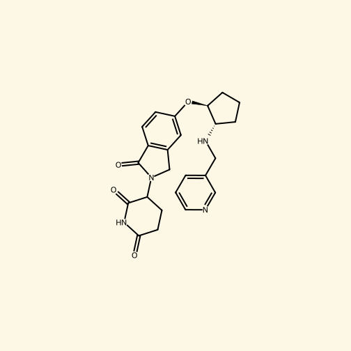 O=C1CCC(N2Cc3cc(O[C@H]4CCC[C@@H]4NCc4cccnc4)ccc3C2=O)C(=O)N1